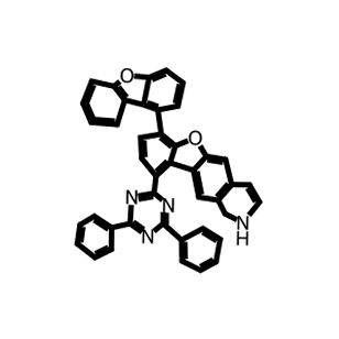 C1=C=Cc2c(oc3cccc(-c4ccc(-c5nc(-c6ccccc6)nc(-c6ccccc6)n5)c5c4oc4cc6c(cc45)CNC=C6)c23)C=1